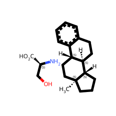 C[C@@]12CCC[C@H]1[C@@H]1CCc3ccccc3[C@H]1CC2.N[C@@H](CO)C(=O)O